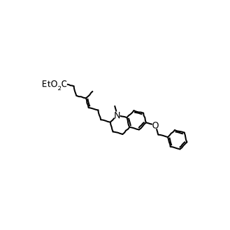 CCOC(=O)CC/C(C)=C/CCC1CCc2cc(OCc3ccccc3)ccc2N1C